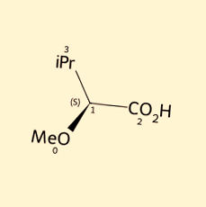 CO[C@H](C(=O)O)C(C)C